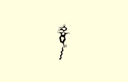 C=CCCCCCNc1ccc2c(c1)C(=O)N(C1CCC(=O)NC1=O)C2=O